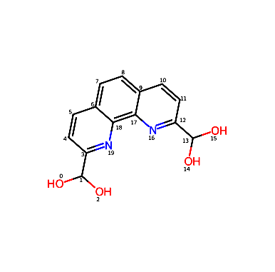 OC(O)c1ccc2ccc3ccc(C(O)O)nc3c2n1